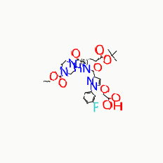 CCOC(=O)N1CCN(C(=O)[C@H](CCC(=O)OC(C)(C)C)NC(=O)c2cc(OCC(=O)O)n(-c3cccc(F)c3)n2)CC1